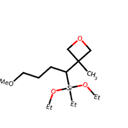 CCO[Si](CC)(OCC)C(CCCOC)C1(C)COC1